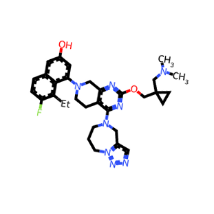 CCc1c(F)ccc2cc(O)cc(N3CCc4c(nc(OCC5(CN(C)C)CC5)nc4N4CCCn5nncc5C4)C3)c12